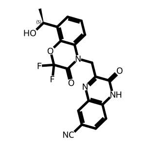 C[C@H](O)c1cccc2c1OC(F)(F)C(=O)N2Cc1nc2cc(C#N)ccc2[nH]c1=O